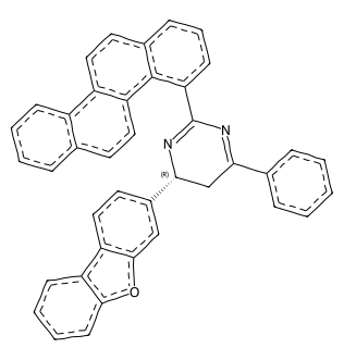 c1ccc(C2=NC(c3cccc4ccc5c6ccccc6ccc5c34)=N[C@@H](c3ccc4c(c3)oc3ccccc34)C2)cc1